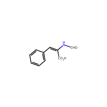 O=CN/C(=C/c1ccccc1)C(=O)O